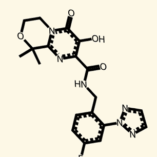 CC1(C)OCCn2c1nc(C(=O)NCc1ccc(F)cc1-n1nccn1)c(O)c2=O